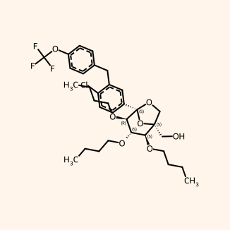 CCCCO[C@@H]1[C@@H](OCCCC)[C@@]2(c3ccc(Cl)c(Cc4ccc(OC(F)(F)F)cc4)c3)OC[C@](CO)(O2)[C@H]1OCCCC